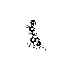 Cc1cc2ncc3c(n2n1)C(C)(C)CCN3C(=O)Nc1cnc(-n2nccn2)c(Cl)c1